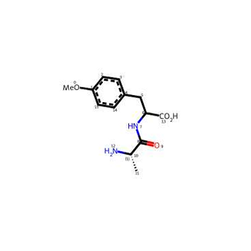 COc1ccc(CC(NC(=O)[C@H](C)N)C(=O)O)cc1